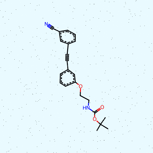 CC(C)(C)OC(=O)NCCOc1cccc(C#Cc2cccc(C#N)c2)c1